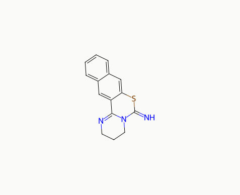 N=C1Sc2cc3ccccc3cc2C2=NCCCN12